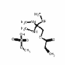 C=CC(=O)OCC(NC)(NC)NC.COS(=O)(=O)O